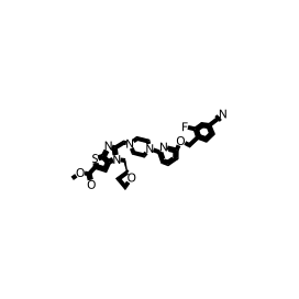 COC(=O)c1cc2c(nc(CN3CCN(c4cccc(OCc5ccc(C#N)cc5F)n4)CC3)n2C[C@@H]2CCO2)s1